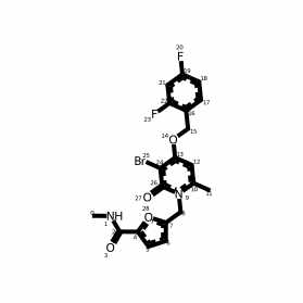 CNC(=O)c1ccc(Cn2c(C)cc(OCc3ccc(F)cc3F)c(Br)c2=O)o1